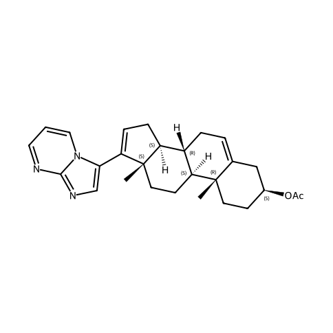 CC(=O)O[C@H]1CC[C@@]2(C)C(=CC[C@@H]3[C@@H]2CC[C@]2(C)C(c4cnc5ncccn45)=CC[C@@H]32)C1